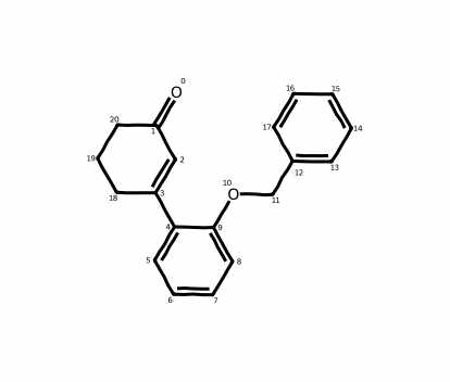 O=C1C=C(c2ccccc2OCc2ccccc2)CCC1